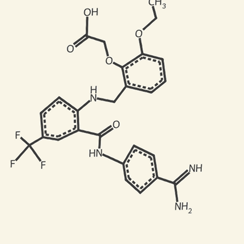 CCOc1cccc(CNc2ccc(C(F)(F)F)cc2C(=O)Nc2ccc(C(=N)N)cc2)c1OCC(=O)O